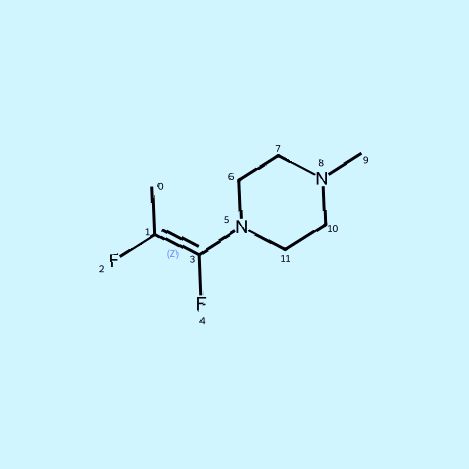 C/C(F)=C(/F)N1CCN(C)CC1